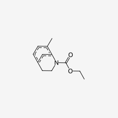 CCOC(=O)N1CCc2ccc(C)c1c2